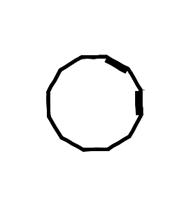 [C]1=CCCCCCCCCC=C1